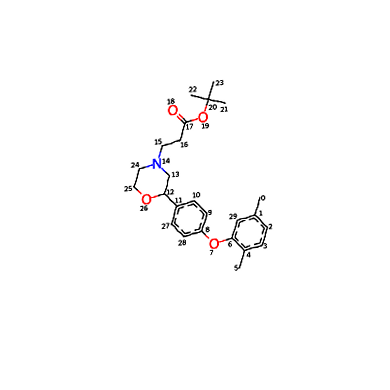 Cc1ccc(C)c(Oc2ccc(C3CN(CCC(=O)OC(C)(C)C)CCO3)cc2)c1